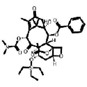 CC[Si](CC)(CC)O[C@H]1C[C@H]2OC[C@@]2(OC(C)=O)[C@H]2[C@H](OC(=O)c3ccccc3)[C@]3(O)CC(=O)C(C)=C([C@@H](OC(=O)N(C)C)C(=O)[C@]12C)C3(C)C